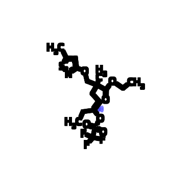 CCOC(=O)C(C)(C/C=C(\CC)OS(=O)(=O)C(F)(F)F)COc1cc(C)sn1